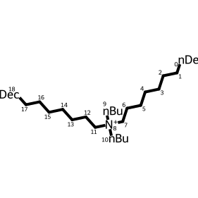 CCCCCCCCCCCCCCCCC[N+](CCCC)(CCCC)CCCCCCCCCCCCCCCCC